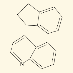 c1ccc2c(c1)CCC2.c1ccc2ncccc2c1